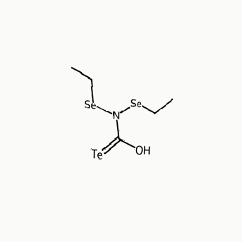 CC[Se]N([Se]CC)C(O)=[Te]